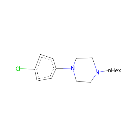 [CH2]CCCCCN1CCN(c2ccc(Cl)cc2)CC1